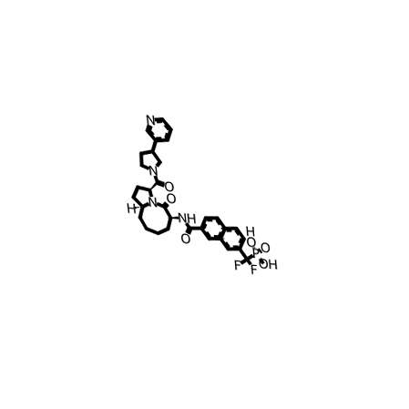 O=C(N[C@H]1CCCC[C@H]2CC[C@@H](C(=O)N3CCC(c4cccnc4)C3)N2C1=O)c1ccc2ccc(C(F)(F)P(=O)(O)O)cc2c1